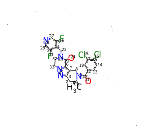 C[C@@H]1Cc2nn3c(c2CN1C(=O)c1ccc(Cl)c(Cl)c1)C(=O)N(Cc1c(F)cncc1F)CC3